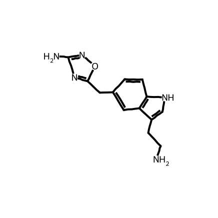 NCCc1c[nH]c2ccc(Cc3nc(N)no3)cc12